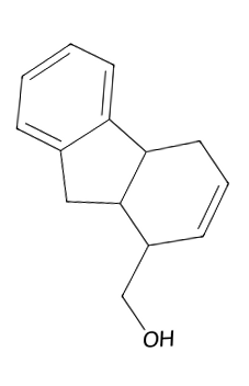 OCC1C=CCC2c3ccccc3CC12